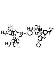 CC(C)(C)OC(=O)NCCN(CCNC(=O)OC(C)(C)C)CCN1CCC(N(OC(=O)N2c3ccc(N4CCCC4)cc3Sc3cc(C(F)(F)F)ccc32)C(C)(C)C)CC1